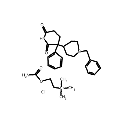 C[N+](C)(C)CCOC(N)=O.O=C1CCC(c2ccccc2)(C2CCN(Cc3ccccc3)CC2)C(=O)N1.[Cl-]